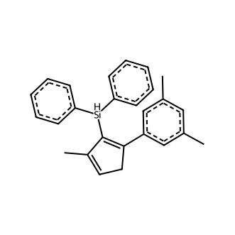 CC1=CCC(c2cc(C)cc(C)c2)=C1[SiH](c1ccccc1)c1ccccc1